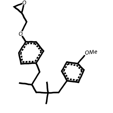 COc1ccc(CC(C)(C)CC(C)Cc2ccc(OCC3CO3)cc2)cc1